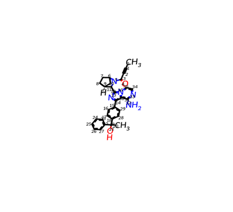 CC#CC(=O)N1C2CC[C@@H](C2)C1c1nc(-c2ccc(C(C)(O)c3ccccc3)cc2)c2c(N)nccn12